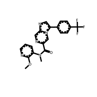 COc1ncccc1N(C)C(=O)c1cn2c(-c3ccc(C(F)(F)F)cc3)cnc2cn1